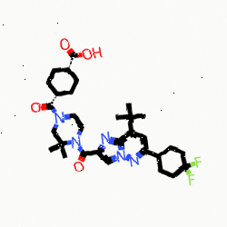 CC(C)(C)c1cc(C2CCC(F)(F)CC2)nn2cc(C(=O)N3CCN(C(=O)[C@H]4CC[C@@H](C(=O)O)CC4)CC3(C)C)nc12